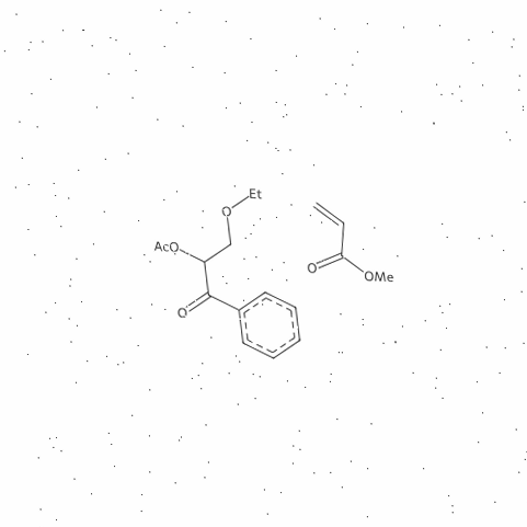 C=CC(=O)OC.CCOCC(OC(C)=O)C(=O)c1ccccc1